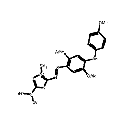 COc1ccc(Nc2cc(NC(C)=O)c(N=Nc3sc(N(C(C)C)C(C)C)n[n+]3C)cc2OC)cc1